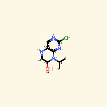 CC(C)N1c2nc(Cl)ncc2N=CC1O